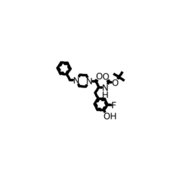 CC(C)(C)OC(=O)NC(Cc1ccc(O)c(F)c1)C(=O)N1CCN(Cc2ccccc2)CC1